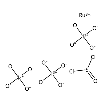 O=S(Cl)Cl.[O-][I+3]([O-])([O-])[O-].[O-][I+3]([O-])([O-])[O-].[O-][I+3]([O-])([O-])[O-].[Ru+3]